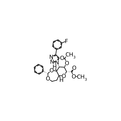 COC(=O)[C@@H]1O[C@@H]2CCO[C@H](c3ccccc3)O[C@@H]2[C@H](n2cc(-c3cccc(F)c3)nn2)[C@H]1OC(C)=O